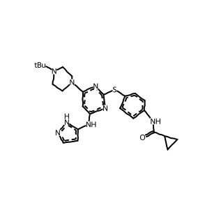 CC(C)(C)N1CCN(c2cc(Nc3ccn[nH]3)nc(Sc3ccc(NC(=O)C4CC4)cc3)n2)CC1